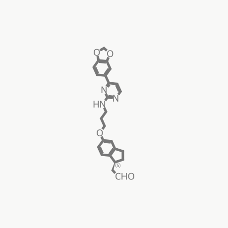 O=CC[C@@H]1CCc2cc(OCCCNc3nccc(-c4ccc5c(c4)OCO5)n3)ccc21